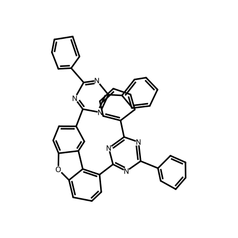 c1ccc(-c2nc(-c3ccccc3)nc(-c3ccc4oc5cccc(-c6nc(-c7ccccc7)nc(-c7ccccc7)n6)c5c4c3)n2)cc1